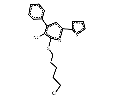 N#Cc1c(-c2ccccc2)cc(-c2cccs2)nc1SCSCCCCl